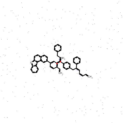 C=C/C=C\C=C(/Cc1ccc(/C(N)=C/C=C(\C=C/C(C=C)=C/C=C\Cc2ccccc2)c2ccc3ccc4oc5ccccc5c4c3c2)cc1)c1ccccc1